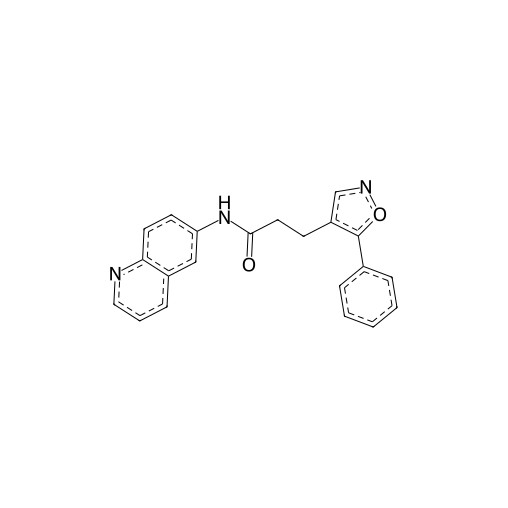 O=C(CCc1cnoc1-c1ccccc1)Nc1ccc2ncccc2c1